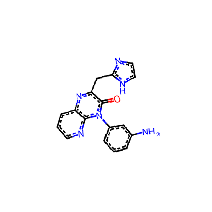 Nc1cccc(-n2c(=O)c(Cc3ncc[nH]3)nc3cccnc32)c1